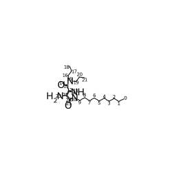 CCCCCCCCCCn1[nH]c(C(=O)N(CCC)CCC)c(N)c1=O